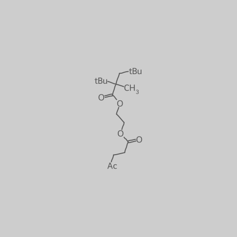 CC(=O)CCC(=O)OCCOC(=O)C(C)(CC(C)(C)C)C(C)(C)C